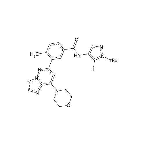 Cc1ccc(C(=O)Nc2cnn(C(C)(C)C)c2I)cc1-c1cc(N2CCOCC2)c2nccn2n1